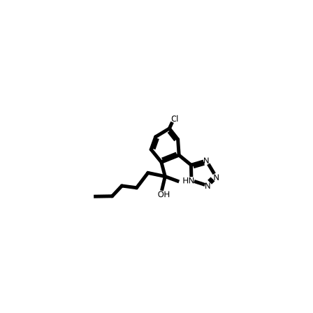 CCCCCC(C)(O)c1ccc(Cl)cc1-c1nnn[nH]1